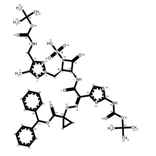 Cc1nn(C[C@@H]2[C@H](NC(=O)C(=NOC3(C(=O)OC(c4ccccc4)c4ccccc4)CC3)c3csc(NC(=O)OC(C)(C)C)n3)C(=O)N2S(=O)(=O)O)nc1CNC(=O)OC(C)(C)C